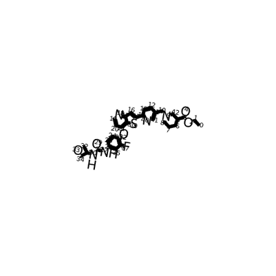 CCOC(=O)C1CCCN(Cc2ccc(-c3cc4nccc(Oc5ccc(NC(=O)NC6COC6)cc5F)c4s3)nc2)C1